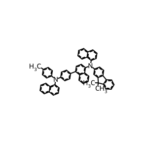 Cc1ccc(N(c2ccc(-c3ccc(N(c4ccc5c(c4)C(C)(C)c4ccccc4-5)c4cccc5ccccc45)c4ccccc34)cc2)c2cccc3ccccc23)cc1